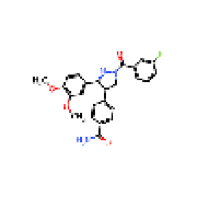 COc1ccc(C2=NN(C(=O)c3cccc(F)c3)CC2c2ccc(C(N)=O)cc2)cc1OC